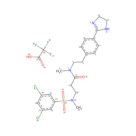 CN(CCc1ccc(C2=NCCN2)cc1)C(=O)CCN(C)S(=O)(=O)c1cc(Cl)cc(Cl)c1.O=C(O)C(F)(F)F